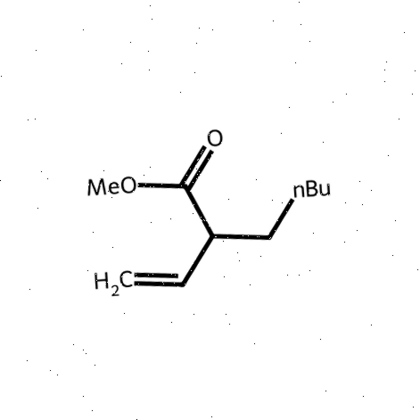 C=CC(CCCCC)C(=O)OC